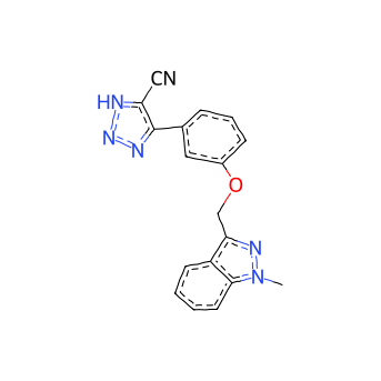 Cn1nc(COc2cccc(-c3nn[nH]c3C#N)c2)c2ccccc21